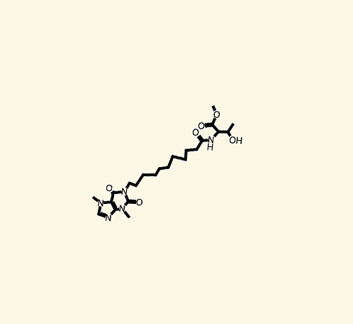 COC(=O)C(NC(=O)CCCCCCCCCCn1c(=O)c2c(ncn2C)n(C)c1=O)C(C)O